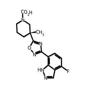 C[C@@]1(c2nc(-c3ccc(F)c4cn[nH]c34)no2)CCCN(C(=O)O)C1